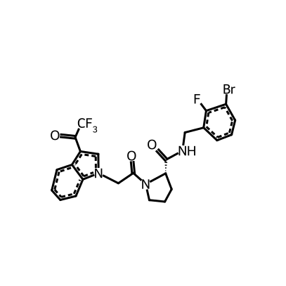 O=C(NCc1cccc(Br)c1F)[C@@H]1CCCN1C(=O)Cn1cc(C(=O)C(F)(F)F)c2ccccc21